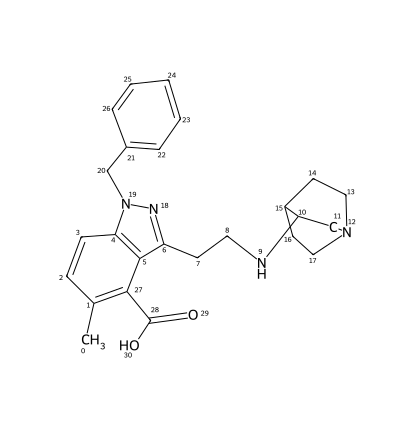 Cc1ccc2c(c(CCNC3CN4CCC3CC4)nn2Cc2ccccc2)c1C(=O)O